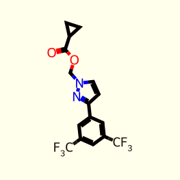 O=C(OCn1ccc(-c2cc(C(F)(F)F)cc(C(F)(F)F)c2)n1)C1CC1